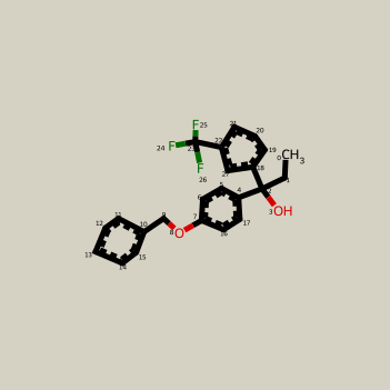 CCC(O)(c1ccc(OCc2ccccc2)cc1)c1cccc(C(F)(F)F)c1